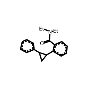 CCN(CC)C(=O)c1ccccc1C1CC1c1ccccc1